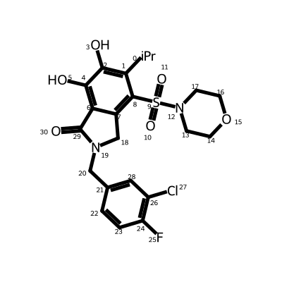 CC(C)c1c(O)c(O)c2c(c1S(=O)(=O)N1CCOCC1)CN(Cc1ccc(F)c(Cl)c1)C2=O